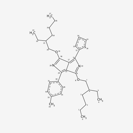 CCCCC(CC)COC1=NC(c2cccs2)=C2C(OCC(CC)CCCC)=NC(c3ccc(C)cc3)=C12